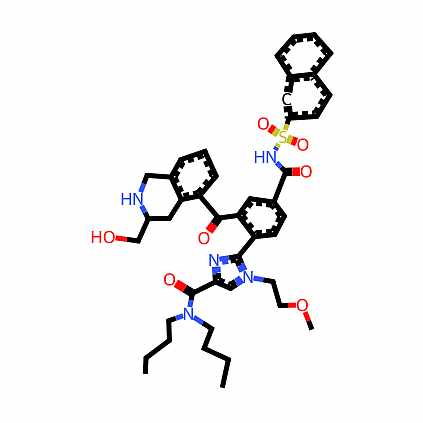 CCCCN(CCCC)C(=O)c1cn(CCOC)c(-c2ccc(C(=O)NS(=O)(=O)c3ccc4ccccc4c3)cc2C(=O)c2cccc3c2CC(CO)NC3)n1